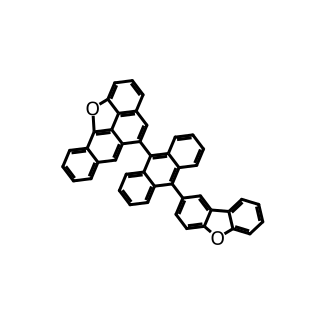 c1ccc2c(c1)cc1c(-c3c4ccccc4c(-c4ccc5oc6ccccc6c5c4)c4ccccc34)cc3cccc4oc2c1c34